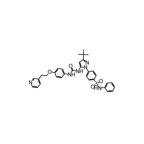 CC(C)(C)c1cc(NC(=O)Nc2ccc(OCCc3cccnc3)cc2)n(-c2ccc(S(=O)(=O)Nc3ccccc3)cc2)n1